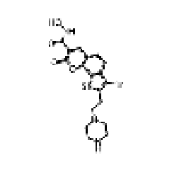 O=C(NO)c1cc2ccc3c(Br)c(CCN4CCNCC4)[se]c3c2oc1=O